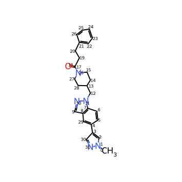 Cn1cc(-c2ccc3c(cnn3CC3CCN(C(=O)CCc4ccccc4)CC3)c2)cn1